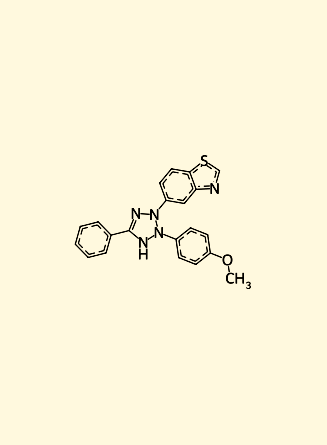 COc1ccc(N2NC(c3ccccc3)=NN2c2ccc3scnc3c2)cc1